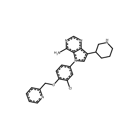 Nc1ncnc2c(C3CCCNC3)cn(-c3ccc(OCc4ccccn4)c(Cl)c3)c12